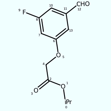 CC(C)OC(=O)COc1cc(F)cc(C=O)c1